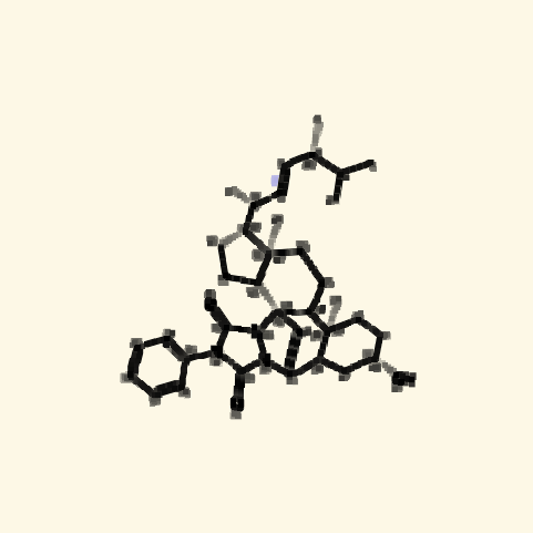 CC(C)[C@@H](C)/C=C/[C@@H](C)[C@H]1CCC2[C@@]34C=C(C5C[C@@H](O)CC[C@]5(C)C3CC[C@@]21C)n1c(=O)n(-c2ccccc2)c(=O)n14